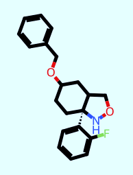 Fc1ccccc1[C@]12CCC(OCc3ccccc3)CC1CON2